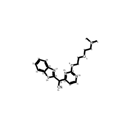 CN(C)CCOCCOc1nccc(C(C#N)c2nc3ccccc3s2)n1